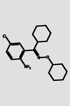 Nc1ccc(Cl)cc1/C(=N/OC1CCCCC1)C1CCCCC1